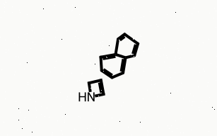 C1=CNC1.c1ccc2ccccc2c1